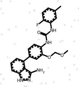 COCOc1cc(-c2cccc3[nH]nc(N)c23)ccc1NC(=O)Nc1cc(C)ccc1F